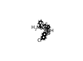 C[C@@H](C(O)N1CCCCC1C(N)=O)N1CC[C@H](NS(=O)(=O)c2ccc3cc(Cl)ccc3c2)C1=O